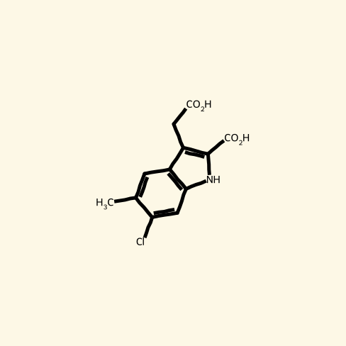 Cc1cc2c(CC(=O)O)c(C(=O)O)[nH]c2cc1Cl